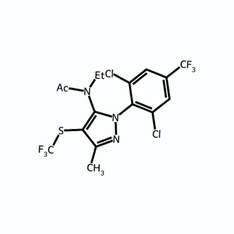 CCN(C(C)=O)c1c(SC(F)(F)F)c(C)nn1-c1c(Cl)cc(C(F)(F)F)cc1Cl